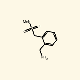 CNS(=O)(=O)Cc1ccccc1CN